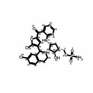 NS(=O)(=O)OC[C@H]1C[C@@H](Nc2ncncc2C(=O)c2cc(C3NCCc4ccc(Cl)cc43)c(Cl)o2)C[C@@H]1O